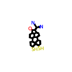 N#CC(C#N)=c1c(=O)c2ccc(-c3ccc(S)cc3)c3c(-c4ccc(S)cc4)ccc1c32